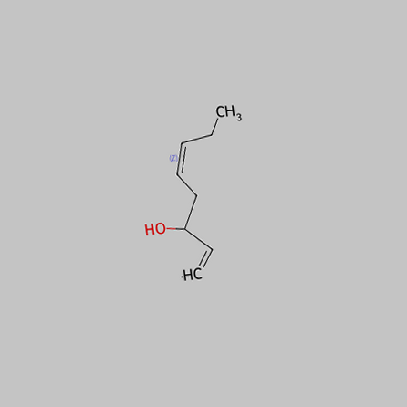 [CH]=CC(O)C/C=C\CC